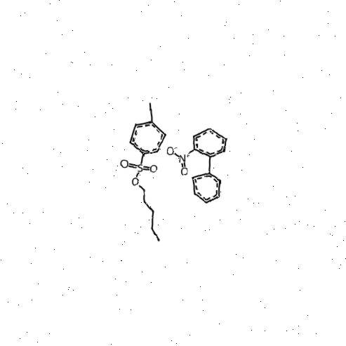 CCCCCOS(=O)(=O)c1ccc(C)cc1.O=[N+]([O-])c1ccccc1-c1ccccc1